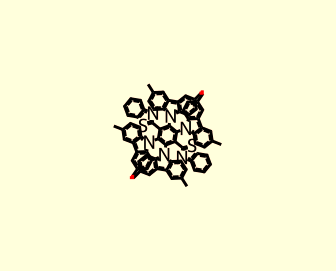 Cc1ccc2c(c1)c1cc(C)ccc1n2-c1c(-c2nc3ccccc3s2)c(-n2c3ccc(C)cc3c3cc(C)ccc32)c(-n2c3ccc(C)cc3c3cc(C)ccc32)c(-c2nc3ccccc3s2)c1-n1c2ccc(C)cc2c2cc(C)ccc21